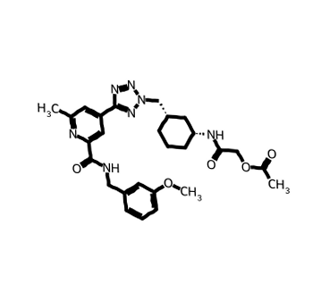 COc1cccc(CNC(=O)c2cc(-c3nnn(C[C@H]4CCC[C@@H](NC(=O)COC(C)=O)C4)n3)cc(C)n2)c1